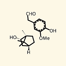 CC1(C)[C@@H]2CC[C@]1(C)[C@@H](O)C2.COc1cc(CC=O)ccc1O